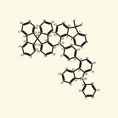 CC1(C)c2ccccc2-c2c(N(c3ccc(-c4cccc5c4c4ccccc4n5-c4ccccc4)cc3)c3cccc4c3-c3ccccc3C43c4ccccc4-c4ccccc43)cccc21